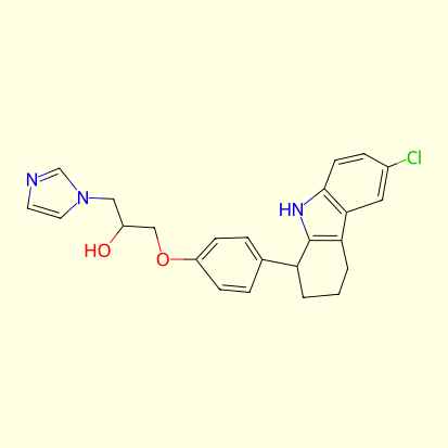 OC(COc1ccc(C2CCCc3c2[nH]c2ccc(Cl)cc32)cc1)Cn1ccnc1